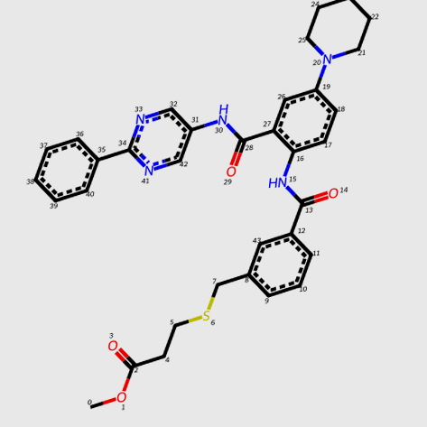 COC(=O)CCSCc1cccc(C(=O)Nc2ccc(N3CCCCC3)cc2C(=O)Nc2cnc(-c3ccccc3)nc2)c1